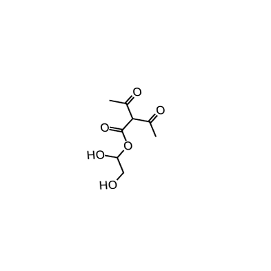 CC(=O)C(C(C)=O)C(=O)OC(O)CO